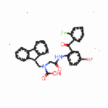 O=C(CN(CC1c2ccccc2-c2ccccc21)C(=O)O)Nc1ccc(Br)cc1C(=O)c1ccccc1F